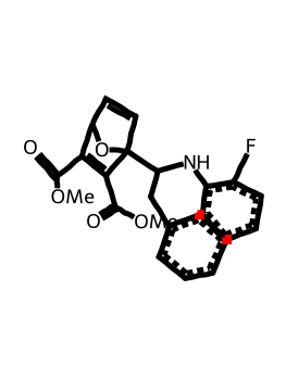 COC(=O)C1=C(C(=O)OC)C2(C(Cc3ccccc3)Nc3ccccc3F)C=CC1O2